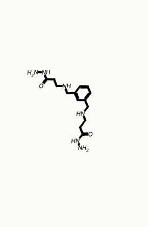 NNC(=O)CCNCc1cccc(CNCCC(=O)NN)c1